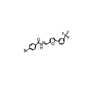 O=C(N/N=C/c1ccc(-c2cccc(C(F)(F)F)c2)o1)c1ccc(Br)cc1